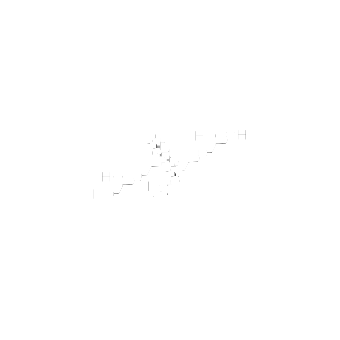 C[SiH2]O[Si](C)(CCCOCC(O)CO)O[Si](C)(CCCOCC(O)CO)O[Si](C)(C)C